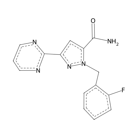 NC(=O)c1cc(-c2ncccn2)nn1Cc1ccccc1F